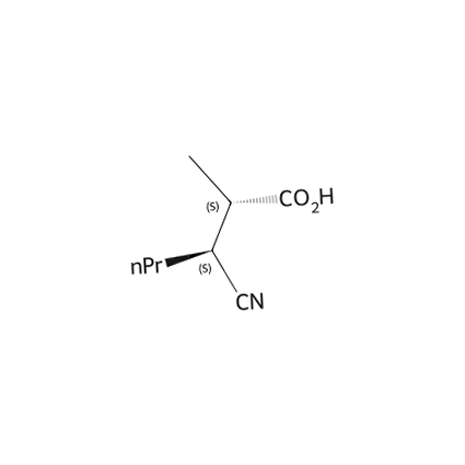 CCC[C@H](C#N)[C@H](C)C(=O)O